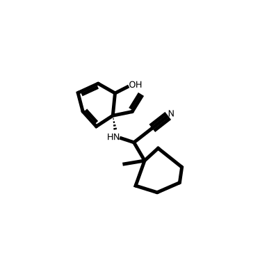 C=C[C@@]1(NC(C#N)C2(C)CCCCC2)C=CC=CC1O